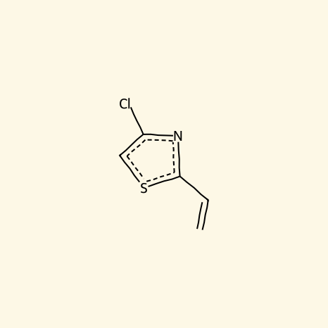 C=Cc1nc(Cl)cs1